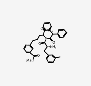 COC(=O)c1cccc(CCCC(C(N)=O)N(C(=O)C(c2ccccc2)c2ccccc2)C(=O)[C@@H](N)Cc2cccc(C)c2)c1